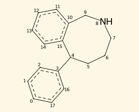 c1ccc(C2CCCNCc3ccccc32)cc1